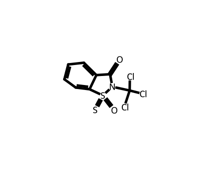 O=C1c2ccccc2S(=O)(=S)N1C(Cl)(Cl)Cl